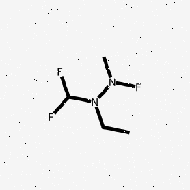 CCN(C(F)F)N(C)F